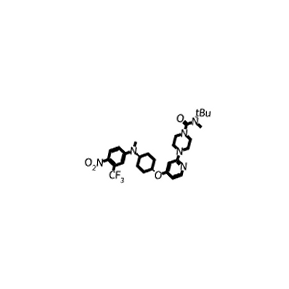 CN(C(=O)N1CCN(c2cc(O[C@H]3CC[C@H](N(C)c4ccc([N+](=O)[O-])c(C(F)(F)F)c4)CC3)ccn2)CC1)C(C)(C)C